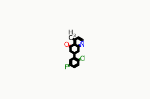 Cc1ccnc2c1C(=O)CC(c1cc(F)ccc1Cl)C2